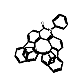 O=c1c2ccc3c4ccccc4n(-c4ccccc4)c3c2c2c(ccc3c4ccccc4n(-c4ccccc4)c32)n1-c1ccccc1